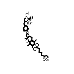 Cc1c(C)c2c(c(C)c1OC(=O)CCCCC1CCSS1)CCC(C)(COc1ccc(CC3CNC(=O)[S+]3[O-])cc1)O2